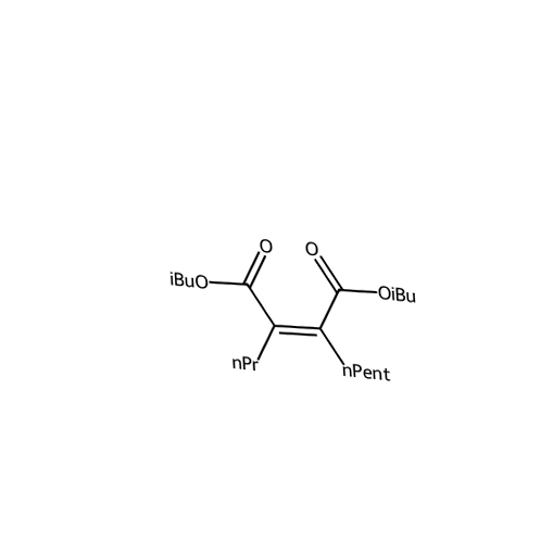 CCCCC/C(C(=O)OCC(C)C)=C(\CCC)C(=O)OCC(C)C